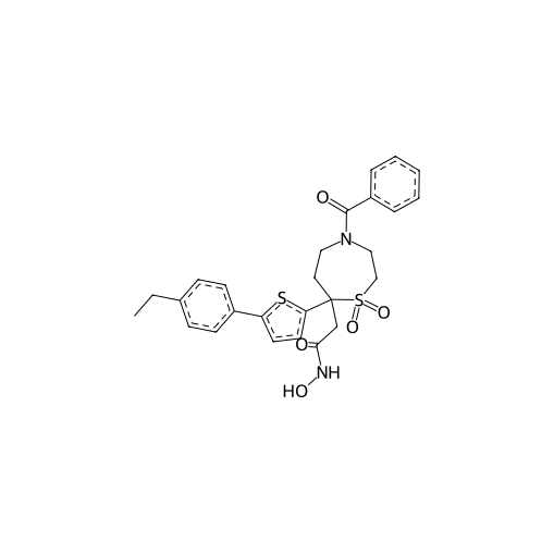 CCc1ccc(-c2ccc(C3(CC(=O)NO)CCN(C(=O)c4ccccc4)CCS3(=O)=O)s2)cc1